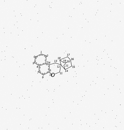 c1ccc2c3c(ccc2c1)OCC1(C3)C2CCCC1CCC2